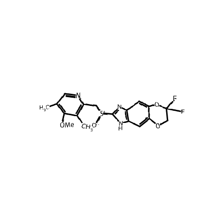 COc1c(C)cnc(C[S+]([O-])c2nc3cc4c(cc3[nH]2)OCC(F)(F)O4)c1C